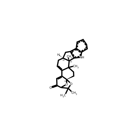 CC1(C)O[C@@]23CCC4(C)C(=CC[C@H]5Cc6c([nH]c7ccccc67)[C@@]54C)C2=CC(=O)C1O3